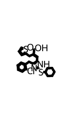 O=C(O)/C(=C/c1[nH]c(SC2CCCCC2)nc1Cc1ccccc1Cl)Cc1cccs1